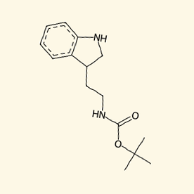 CC(C)(C)OC(=O)NCCC1CNc2ccccc21